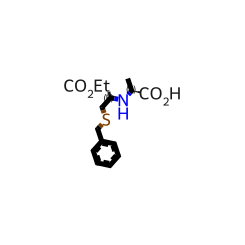 CCOC(=O)[C@H](CSCc1ccccc1)N[C@H](C)C(=O)O